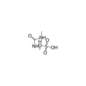 CNC(N)=O.O=S(=O)(O)O